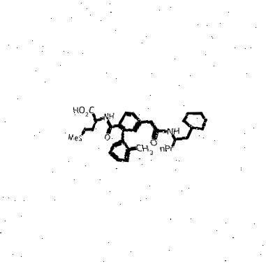 CCCC(CC1CCCCC1)NC(=O)Cc1ccc(C(=O)NC(CCSC)C(=O)O)c(-c2ccccc2C)c1